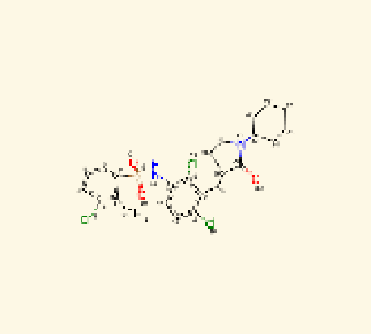 Cc1c(Cl)cccc1S(=O)(=O)Nc1ccc(Cl)c(CC2CCN(C3CCCCC3)C2=O)c1Cl